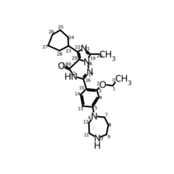 CCOc1cc(N2CCCNCC2)ccc1-c1nn2c(C)nc(C3CCCCC3)c2c(=O)[nH]1